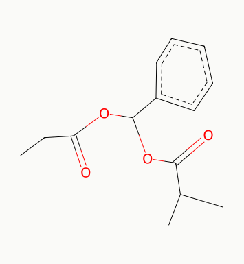 CCC(=O)OC(OC(=O)C(C)C)c1ccccc1